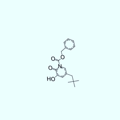 CC(C)(C)Cc1cc(O)c(=O)n(C(=O)OCc2ccccc2)c1